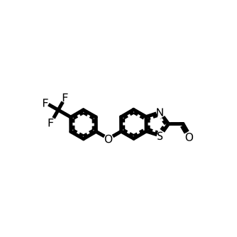 O=Cc1nc2ccc(Oc3ccc(C(F)(F)F)cc3)cc2s1